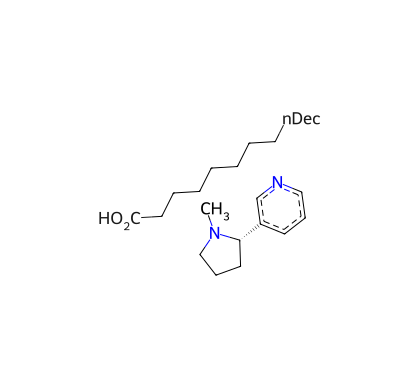 CCCCCCCCCCCCCCCCCC(=O)O.CN1CCC[C@H]1c1cccnc1